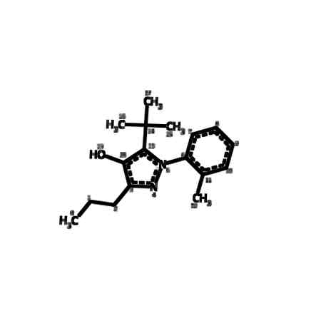 CCCc1nn(-c2ccccc2C)c(C(C)(C)C)c1O